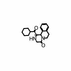 O=C(C1CCCCC1)[C@@H]1NCC(=O)N2CCc3ccccc3C12